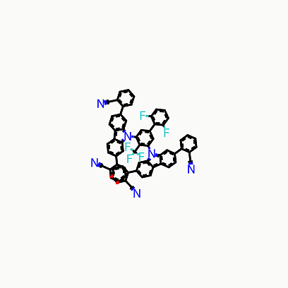 N#Cc1ccccc1-c1ccc2c3ccc(-c4ccccc4C#N)cc3n(-c3cc(-c4c(F)cccc4F)cc(-n4c5cc(-c6ccccc6C#N)ccc5c5ccc(-c6ccccc6C#N)cc54)c3C(F)(F)F)c2c1